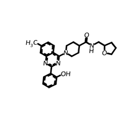 Cc1ccc2c(N3CCC(C(=O)NCC4CCCO4)CC3)nc(-c3ccccc3O)nc2c1